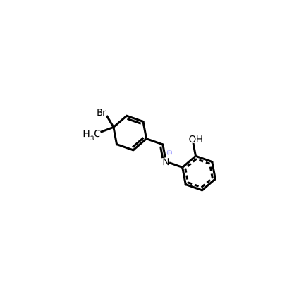 CC1(Br)C=CC(/C=N/c2ccccc2O)=CC1